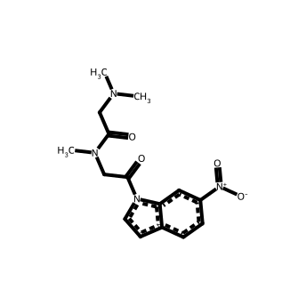 CN(C)CC(=O)N(C)CC(=O)n1ccc2ccc([N+](=O)[O-])cc21